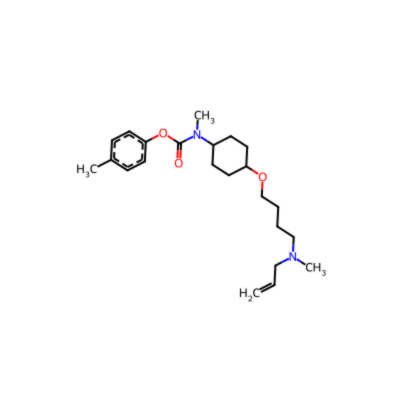 C=CCN(C)CCCCOC1CCC(N(C)C(=O)Oc2ccc(C)cc2)CC1